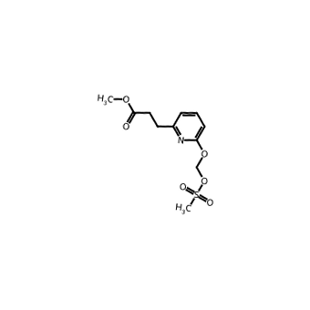 COC(=O)CCc1cccc(OCOS(C)(=O)=O)n1